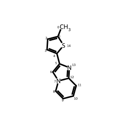 Cc1ccc(-c2cn3ccccc3n2)s1